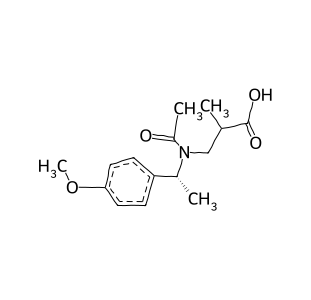 COc1ccc([C@@H](C)N(CC(C)C(=O)O)C(C)=O)cc1